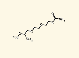 CCCCOC([SiH3])COCCOCCOC(N)=O